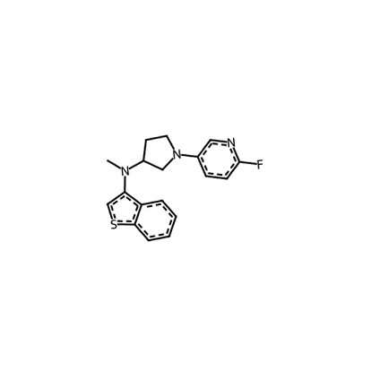 CN(c1csc2ccccc12)C1CCN(c2ccc(F)nc2)C1